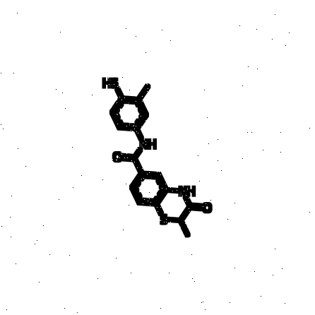 Cc1cc(NC(=O)c2ccc3c(c2)NC(=O)C(C)S3)ccc1S